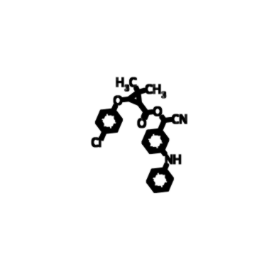 CC1(C)C(Oc2ccc(Cl)cc2)C1C(=O)OC(C#N)c1cccc(Nc2ccccc2)c1